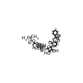 CC(C)C(=O)O[C@@H]1CCOP(=O)(OP(=O)(O)OC[C@H]2O[C@@H](n3ccc(=O)n(Cc4noc5ccccc45)c3=O)[C@@H](O)[C@H]2O)O1